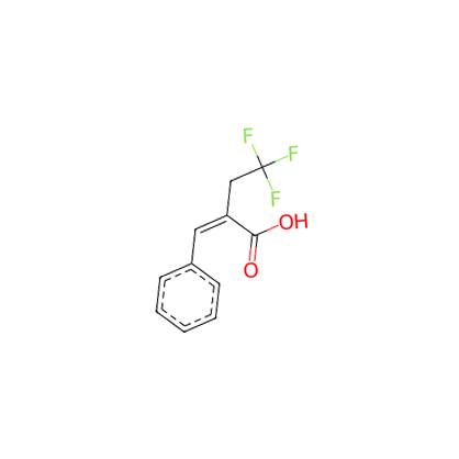 O=C(O)C(=Cc1ccccc1)CC(F)(F)F